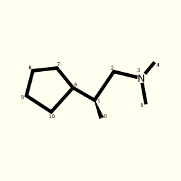 C[C@H](CN(C)C)C1CCCC1